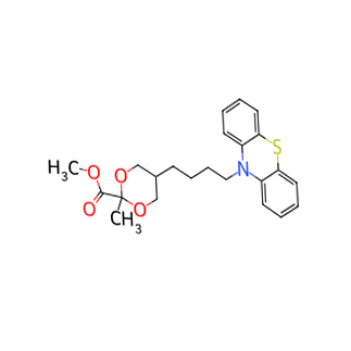 COC(=O)C1(C)OCC(CCCCN2c3ccccc3Sc3ccccc32)CO1